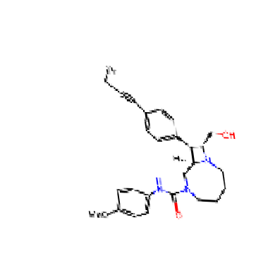 COc1ccc(NC(=O)N2CCCCN3[C@H](CO)[C@H](c4ccc(C#CCC(C)C)cc4)[C@@H]3C2)cc1